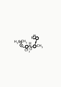 Cc1ccc(C(=O)Nc2ccc(CN3CCC(N(C)C)C3)c(C(F)(F)F)c2)cc1C#Cc1cccc2ncncc12